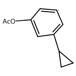 CC(=O)Oc1c[c]cc(C2CC2)c1